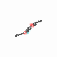 CCCCCCCCCOc1ccc(-c2ccc(C(=O)Oc3ccc(CCCCCC)cc3)cc2)c(F)c1F